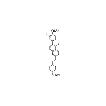 CCCCCCC1CCC(CCc2ccc3c(F)c(-c4ccc(OC)c(F)c4)ccc3c2)CC1